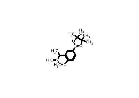 CC(c1cc(B2OC(C)(C)C(C)(C)O2)ccc1O)N(C)C